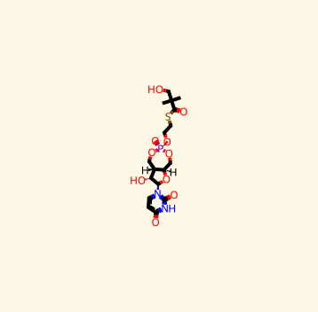 CC(C)(CO)C(=O)SCCO[P@]1(=O)OC[C@H]2[C@@H](O)[C@H](n3ccc(=O)[nH]c3=O)O[C@@H]2CO1